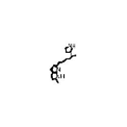 CC1CCc2ccc(CCCCC(C)[C@@H]3CCNC3)nc2N1